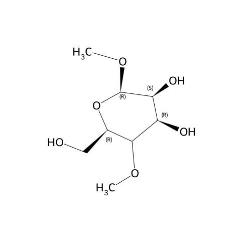 COC1[C@@H](CO)O[C@@H](OC)[C@@H](O)[C@H]1O